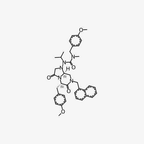 COc1ccc(C[C@H]2C(=O)N(Cc3cccc4ccccc34)C[C@H]3N2C(=O)CN3N(C(=O)N(C)Cc2ccc(OC)cc2)C(C)C)cc1